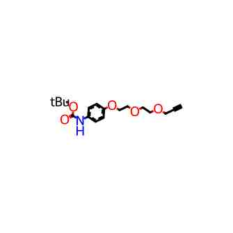 C#CCOCCOCCOc1ccc(NC(=O)OC(C)(C)C)cc1